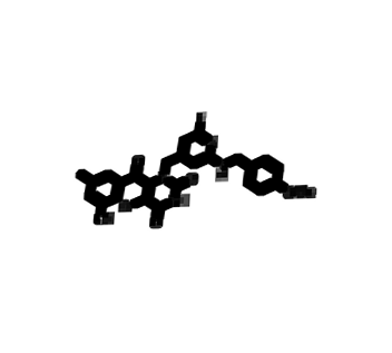 COc1ccc(CNc2cc(Cn3c(C(=O)c4cc(C)cc(C#N)c4)c(Br)c(=O)[nH]c3=O)cc(F)n2)cc1